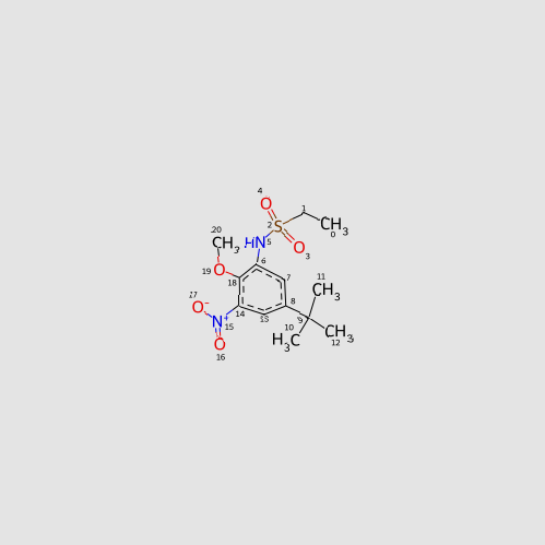 CCS(=O)(=O)Nc1cc(C(C)(C)C)cc([N+](=O)[O-])c1OC